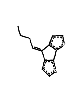 CCCC=C1c2ccsc2-c2sccc21